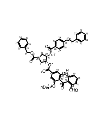 CCCCCCCCCCOc1cc(C(=O)O[C@@H]2CN(C(=O)OCc3ccccc3)C[C@H]2NC(=O)c2ccc(OCc3ccccc3)cc2)cc(O)c1C(=O)c1c(O)cccc1C=O